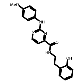 COc1ccc(Nc2nccc(C(=O)NCCc3ccccc3O)n2)cc1